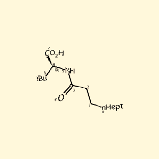 CCCCCCCCCC(=O)N[C@H](C(=O)O)C(C)CC